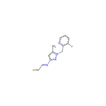 Cc1cc(N=CC=S)nn1Cc1ncccc1F